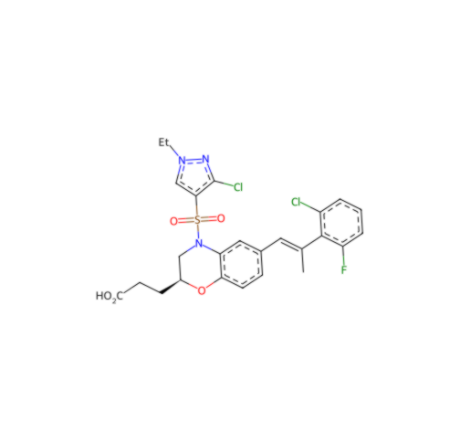 CCn1cc(S(=O)(=O)N2C[C@H](CCC(=O)O)Oc3ccc(/C=C(\C)c4c(F)cccc4Cl)cc32)c(Cl)n1